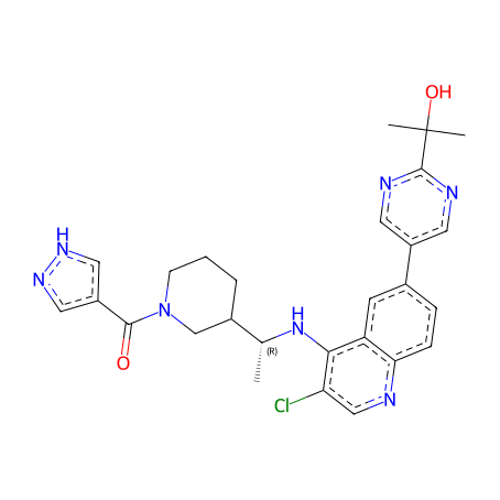 C[C@@H](Nc1c(Cl)cnc2ccc(-c3cnc(C(C)(C)O)nc3)cc12)C1CCCN(C(=O)c2cn[nH]c2)C1